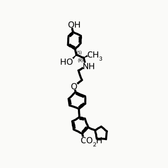 C[C@@H](NCCOc1ccc(-c2ccc(C(=O)O)c(C3CCCC3)c2)cc1)[C@@H](O)c1ccc(O)cc1